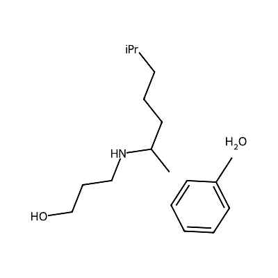 CC(C)CCCC(C)NCCCO.Cc1ccccc1.O